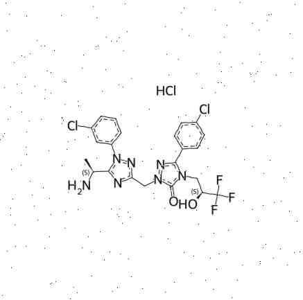 C[C@H](N)c1nc(Cn2nc(-c3ccc(Cl)cc3)n(C[C@H](O)C(F)(F)F)c2=O)nn1-c1cccc(Cl)c1.Cl